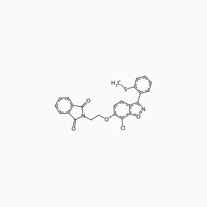 CSc1ccccc1-c1noc2c(Cl)c(OCCN3C(=O)c4ccccc4C3=O)ccc12